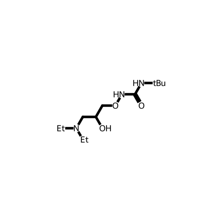 CCN(CC)CC(O)CONC(=O)NC(C)(C)C